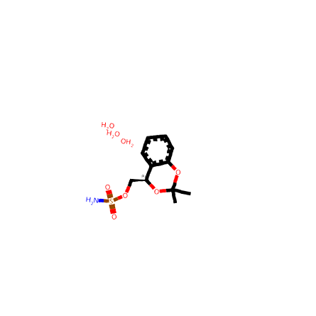 CC1(C)Oc2ccccc2[C@H](COS(N)(=O)=O)O1.O.O.O